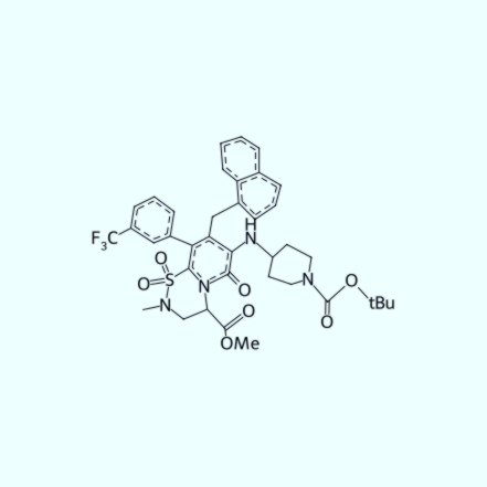 COC(=O)C1CN(C)S(=O)(=O)c2c(-c3cccc(C(F)(F)F)c3)c(Cc3cccc4ccccc34)c(NC3CCN(C(=O)OC(C)(C)C)CC3)c(=O)n21